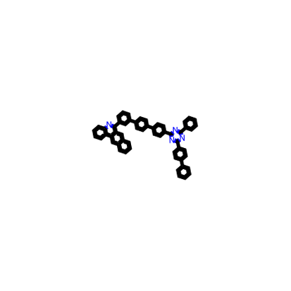 c1ccc(-c2ccc(-c3nc(-c4ccccc4)nc(-c4ccc(-c5ccc(-c6cccc(-c7nc8ccccc8c8cc9ccccc9cc78)c6)cc5)cc4)n3)cc2)cc1